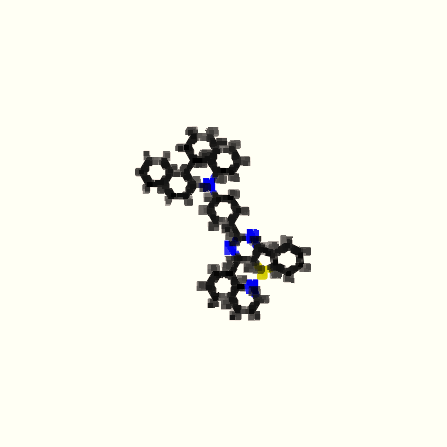 c1ccc2c3c(ccc2c1)N(c1ccc(-c2nc(-c4cccc5cccnc45)c4sc5ccccc5c4n2)cc1)c1cccc2cccc-3c12